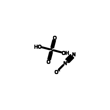 N#[N+][O-].O=S(=O)(O)O